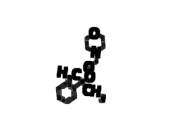 CC(C)(OOCN1CCOCC1)c1ccccc1